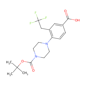 CC(C)(C)OC(=O)N1CCN(c2ccc(C(=O)O)cc2CC(F)(F)F)CC1